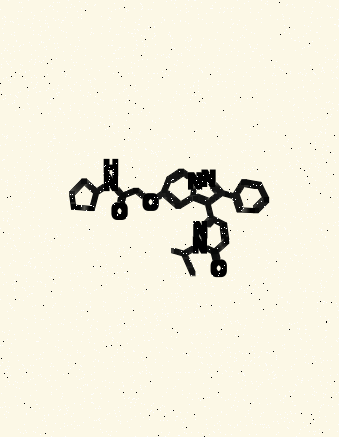 CC(C)n1nc(-c2c(-c3ccccc3)nn3ccc(OCC(=O)NC4CCCC4)cc23)ccc1=O